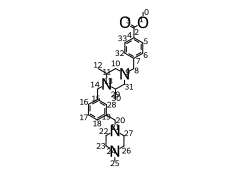 COC(=O)c1ccc(CN2CC(C)N(Cc3cccc(CN4CCN(C)CC4)c3)C(C)C2)cc1